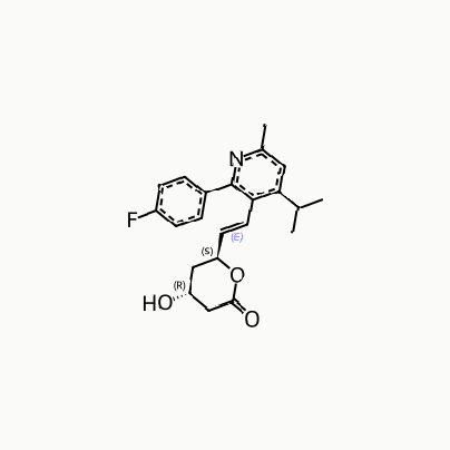 Cc1cc(C(C)C)c(/C=C/[C@@H]2C[C@@H](O)CC(=O)O2)c(-c2ccc(F)cc2)n1